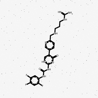 N=C(N)NCCCNCc1ccc(-c2c[nH]c(NC(=O)Nc3cc(F)c(F)cc3F)nc2=O)cn1